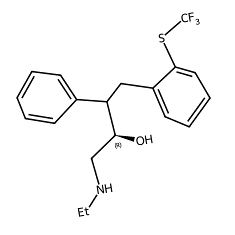 CCNC[C@H](O)C(Cc1ccccc1SC(F)(F)F)c1ccccc1